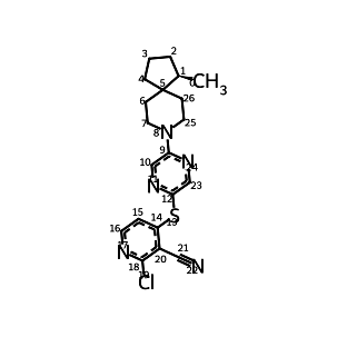 C[C@@H]1CCCC12CCN(c1cnc(Sc3ccnc(Cl)c3C#N)cn1)CC2